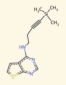 C[Si](C)(C)C#CCCNc1ncnc2sccc12